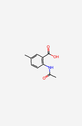 CC(=O)Nc1ccc(C)cc1C(=O)O